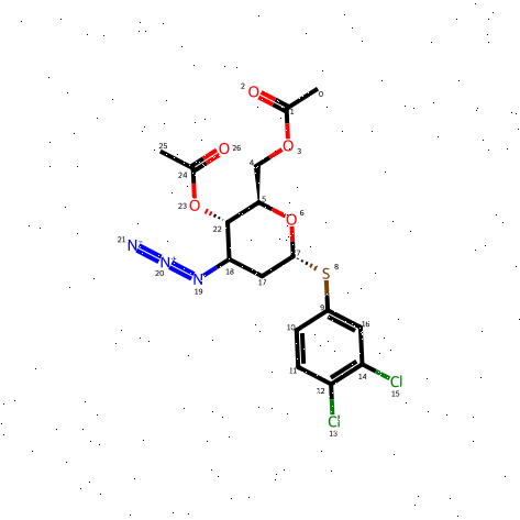 CC(=O)OC[C@H]1O[C@H](Sc2ccc(Cl)c(Cl)c2)CC(N=[N+]=[N-])[C@@H]1OC(C)=O